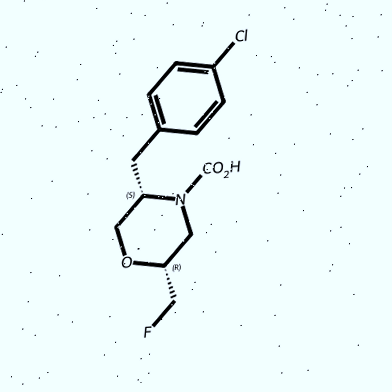 O=C(O)N1C[C@H](CF)OC[C@@H]1Cc1ccc(Cl)cc1